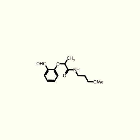 COCCCNC(=O)C(C)Oc1ccccc1C=O